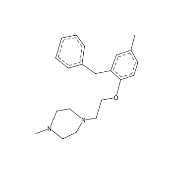 Cc1ccc(OCCN2CCN(C)CC2)c(Cc2ccccc2)c1